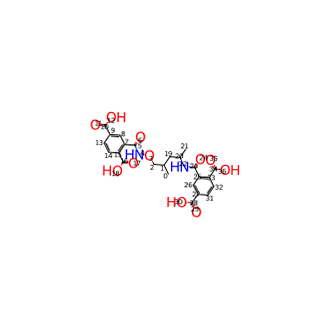 CC(CONC(=O)c1cc(C(=O)O)ccc1C(=O)O)CC(C)NC(=O)c1cc(C(=O)O)ccc1C(=O)O